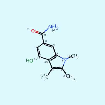 Cc1c(C)n(C)c2cc(C(N)=O)ccc12.Cl